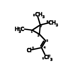 CC1C(C=C(Cl)C(F)(F)F)C1(C)C